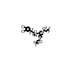 O=C(CC(F)(F)F)N1CC(c2nnc(C(F)(F)c3ccc(Cl)c(Cl)c3)o2)C2(C1)CN(C(=O)CC(F)(F)F)C2